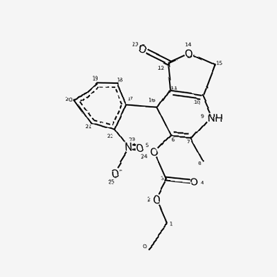 CCOC(=O)OC1=C(C)NC2=C(C(=O)OC2)C1c1ccccc1[N+](=O)[O-]